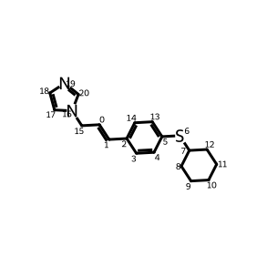 C(=Cc1ccc(SC2CCCCC2)cc1)Cn1ccnc1